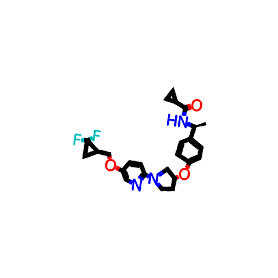 C[C@H](NC(=O)C1CC1)c1ccc(OC2CCN(c3ccc(OCC4CC4(F)F)cn3)C2)cc1